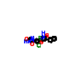 O=c1cnn(-c2cc(Cl)c(Oc3cc(C4CCc5ccccc5C4)c(=O)[nH]n3)c(Cl)c2)c(=O)[nH]1